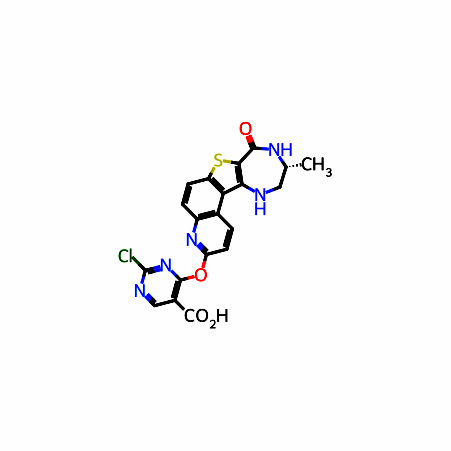 C[C@@H]1CNc2c(sc3ccc4nc(Oc5nc(Cl)ncc5C(=O)O)ccc4c23)C(=O)N1